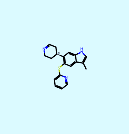 Cc1c[nH]c2cc([C@@H]3CC=NCC3)c(Sc3ccccn3)cc12